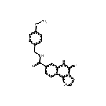 COc1ccc(CNC(=O)c2ccc3c(c2)[nH]c(=O)c2ccsc23)cc1